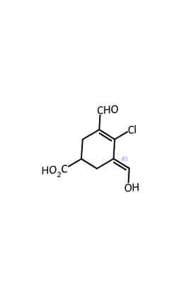 O=CC1=C(Cl)/C(=C/O)CC(C(=O)O)C1